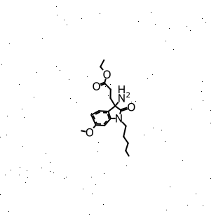 CCCCCN1C(=O)C(N)(CCC(=O)OCC)c2ccc(OC)cc21